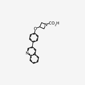 O=C(O)N1CC(Oc2ccc(-c3cnc4ccccc4c3)cc2)C1